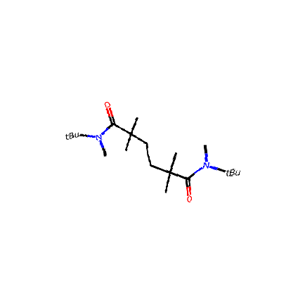 CN(C(=O)C(C)(C)CCC(C)(C)C(=O)N(C)C(C)(C)C)C(C)(C)C